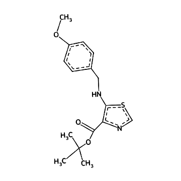 COc1ccc(CNc2scnc2C(=O)OC(C)(C)C)cc1